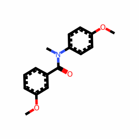 COc1ccc(N(C)C(=O)c2cccc(OC)c2)cc1